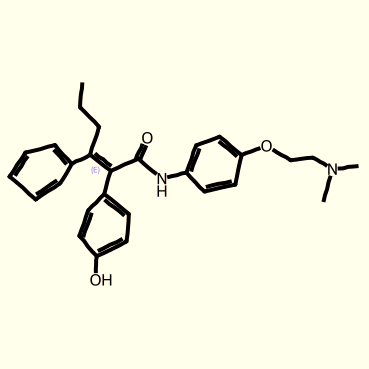 CCC/C(=C(\C(=O)Nc1ccc(OCCN(C)C)cc1)c1ccc(O)cc1)c1ccccc1